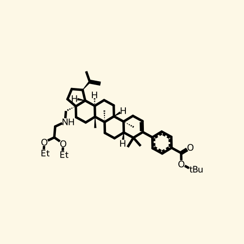 C=C(C)[C@@H]1CC[C@]2(CNCC(OCC)OCC)CC[C@]3(C)[C@H](CC[C@@H]4[C@@]5(C)CC=C(c6ccc(C(=O)OC(C)(C)C)cc6)C(C)(C)[C@@H]5CC[C@]43C)[C@@H]12